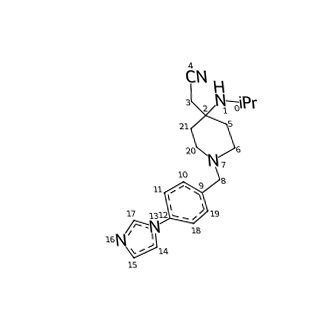 CC(C)NC1(CC#N)CCN(Cc2ccc(-n3ccnc3)cc2)CC1